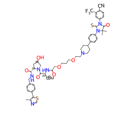 Cc1ncsc1-c1ccc(CNC(=O)[C@@H]2C[C@@H](O)CN2C(=O)[C@@H](NC(=O)COCCCOCCN2CCC(c3ccc(N4C(=S)N(c5ccc(C#N)c(C(F)(F)F)c5)C(=O)C4(C)C)cc3)CC2)C(C)(C)C)cc1